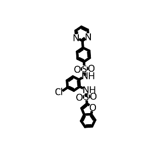 O=S(=O)(Nc1ccc(Cl)cc1NS(=O)(=O)c1cc2ccccc2o1)c1ccc(-c2ncccn2)cc1